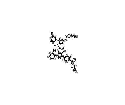 COCCN1C[C@@H](NC(=O)Nc2c(C)c(-c3cnc(C(=O)NCC4CC4)c(C)c3)nn2-c2ccccc2)[C@H](c2ccnc(F)c2)O1